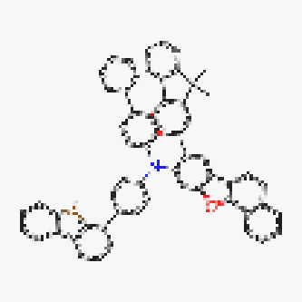 CC1(C)c2ccccc2-c2ccc(-c3cc4c(cc3N(c3ccc(-c5ccccc5)cc3)c3ccc(-c5cccc6c5sc5ccccc56)cc3)oc3c5ccccc5ccc43)cc21